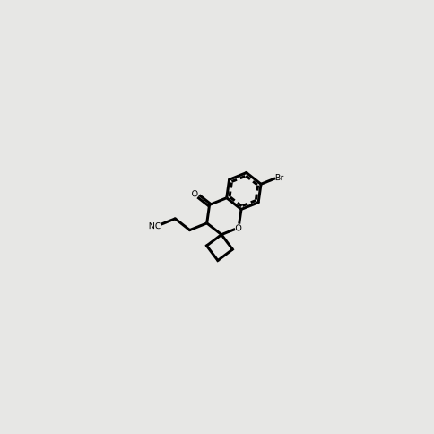 N#CCCC1C(=O)c2ccc(Br)cc2OC12CCC2